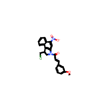 COc1cccc(/C=C/C(=O)N2CC(CCl)c3c2cc([N+](=O)[O-])c2ccccc32)c1